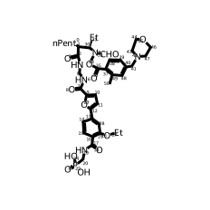 CCCCCC(C(=O)NCNC(=O)c1ccc(-c2ccc(C(=O)NCP(=O)(O)O)c(OCC)c2)o1)[C@@H](CC)N(C=O)OC(=O)c1ccc(CN2CCOCC2)cc1C